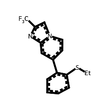 CCSc1ccccc1-c1ccn2cc(C(F)(F)F)nc2c1